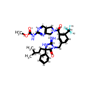 COC(=O)Nc1ncc2c(n1)CN(C(=O)c1cc(CN3C(=N)NC(CCC(C)C)(c4ccccc4)C3=O)ccc1C(F)(F)F)C2